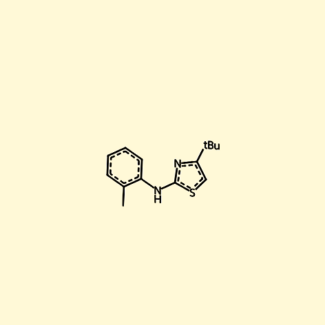 Cc1ccccc1Nc1nc(C(C)(C)C)cs1